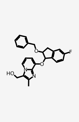 Cc1nc2c(OC3c4ccc(F)cc4CC3OCc3ccccc3)cccn2c1CO